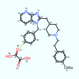 COc1ccc(CCN2CCC(Cc3nc4ncccc4n3Cc3ccc(F)cc3)CC2)cc1.O=C(O)C(=O)O